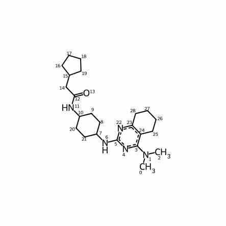 CN(C)c1nc(NC2CCC(NC(=O)CC3CCCC3)CC2)nc2c1CCCC2